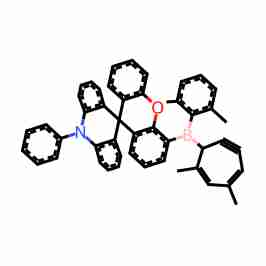 CC1=CC#CC(B(c2cccc3c2Oc2ccccc2C32c3ccccc3N(c3ccccc3)c3ccccc32)c2c(C)cccc2C)C(C)=C1